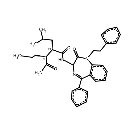 CCC[C@H](C(N)=O)[C@@H](CC(C)C)C(=O)NC1N=C(c2ccccc2)c2ccccc2N(CCc2ccccc2)C1=O